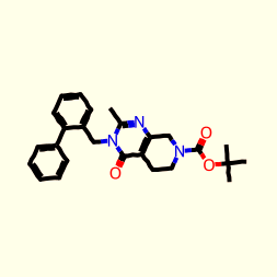 Cc1nc2c(c(=O)n1Cc1ccccc1-c1ccccc1)CCN(C(=O)OC(C)(C)C)C2